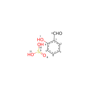 O=Cc1ccccc1O.O=S(O)O